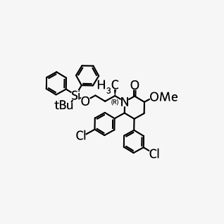 COC1CC(c2cccc(Cl)c2)C(c2ccc(Cl)cc2)N([C@H](C)CCO[Si](c2ccccc2)(c2ccccc2)C(C)(C)C)C1=O